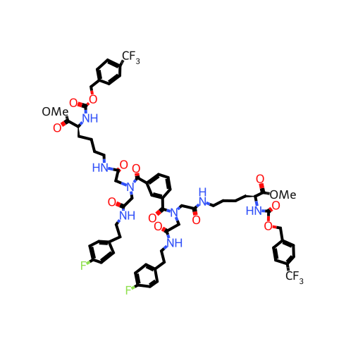 COC(=O)[C@H](CCCCNC(=O)CN(CC(=O)NCCc1ccc(F)cc1)C(=O)c1cccc(C(=O)N(CC(=O)NCCCC[C@H](NC(=O)OCc2ccc(C(F)(F)F)cc2)C(=O)OC)CC(=O)NCCc2ccc(F)cc2)c1)NC(=O)OCc1ccc(C(F)(F)F)cc1